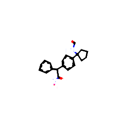 O=CNC1(c2ccc(C(C(=O)NO)c3ccccc3)cc2)CCCC1